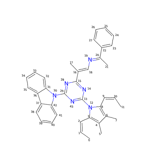 C/C=C\c1c(C)c(C)c(/C=C\C)n1-c1nc(/C(C)=C/N=C(\C)c2ccccc2)nc(-n2c3ccccc3c3ccccc32)n1